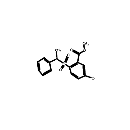 COC(=O)c1cc(Cl)ccc1S(=O)(=O)N(C)c1ccccc1